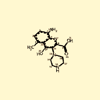 Cc1ccc(N)c2nc(C(=O)O)c(N3CCNCC3)c(O)c12